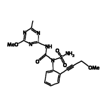 COCC#Cc1ccccc1N(C(=O)Nc1nc(C)nc(OC)n1)S(N)(=O)=O